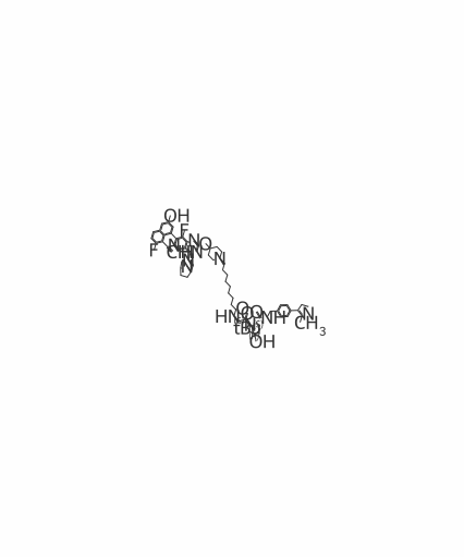 C#Cc1c(F)ccc2cc(O)cc(-c3ncc4c(N5CC6CCC(C5)N6)nc(OC5CCN(CCCCCCCCC(=O)N[C@H](C(=O)N6C[C@H](O)C[C@H]6C(=O)NCc6ccc(C7=C(C)N=CC7)cc6)C(C)(C)C)CC5)nc4c3F)c12